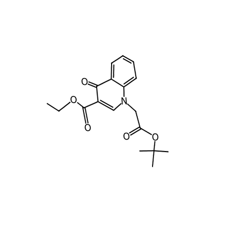 CCOC(=O)c1cn(CC(=O)OC(C)(C)C)c2ccccc2c1=O